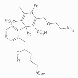 CCCCCCCCCCCCCC(Cc1ccccc1C1(CC)C(C(=O)O)=C(C)N(CC)C(COCCN)=C1C(=O)O)OCC